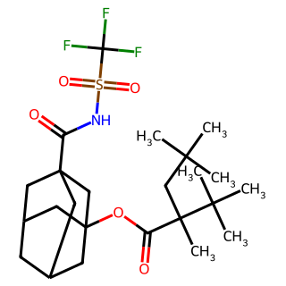 CC(C)(C)CC(C)(C(=O)OC12CC3CC(C1)CC(C(=O)NS(=O)(=O)C(F)(F)F)(C3)C2)C(C)(C)C